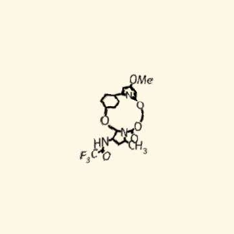 COc1cc2nc(c1)C1CCC(CC1)OCC1C(NC(=O)C(F)(F)F)CC(C)N1C(=O)OCCO2